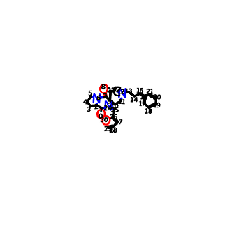 O=C1C2CCCN2C(=O)C2(CCN(CCCc3ccccc3)CC2)N1Cc1ccco1